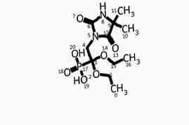 CCOC(CN1C(=O)NC(C)(C)C1=O)(OCC)P(=O)(O)O